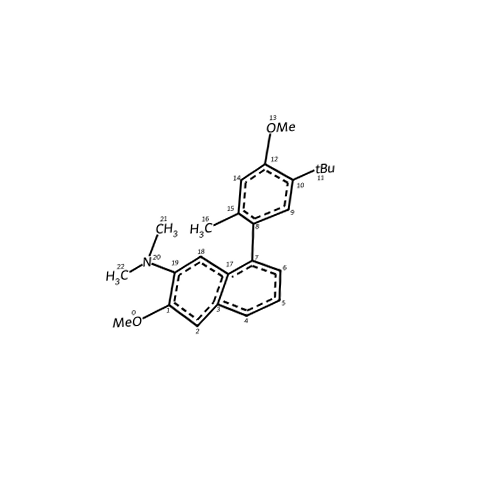 COc1cc2cccc(-c3cc(C(C)(C)C)c(OC)cc3C)c2cc1N(C)C